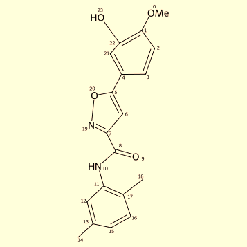 COc1ccc(-c2cc(C(=O)Nc3cc(C)ccc3C)no2)cc1O